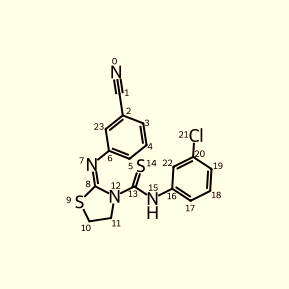 N#Cc1cccc(/N=C2/SCCN2C(=S)Nc2cccc(Cl)c2)c1